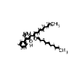 CCCCCCCCCCOC(CCCCCCCC)CC(O)C(=NO)c1ccccc1